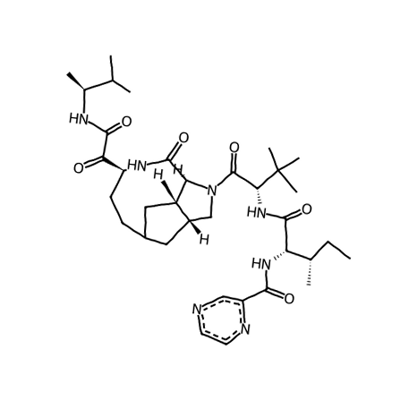 CC[C@H](C)[C@H](NC(=O)c1cnccn1)C(=O)N[C@H](C(=O)N1C[C@@H]2CC3CC[C@@H](C(=O)C(=O)N[C@@H](C)C(C)C)NC(=O)[C@@H]1[C@H]2C3)C(C)(C)C